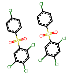 O=S(=O)(c1ccc(Cl)cc1)c1cc(Cl)c(Cl)cc1Cl.O=S(=O)(c1ccc(Cl)cc1)c1cc(Cl)c(Cl)cc1Cl